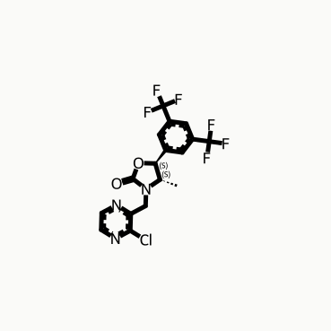 C[C@H]1[C@H](c2cc(C(F)(F)F)cc(C(F)(F)F)c2)OC(=O)N1Cc1nccnc1Cl